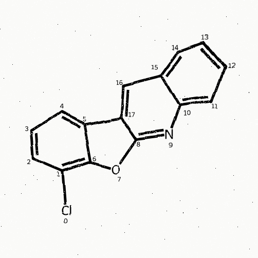 Clc1cccc2c1oc1nc3ccccc3cc12